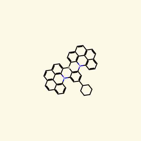 c1cc2c3c(c1)ccc1ccc4ccc5c(c4c13)N2c1cc(C2CCCCC2)cc2c1B5c1ccc3ccc4ccc5cccc6c5c4c3c1N26